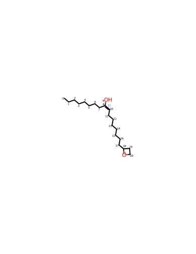 CCCCCCCC/C(O)=C\CCCCCCCC1CCO1